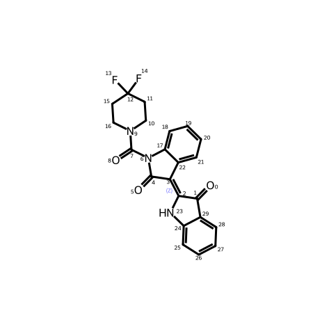 O=C1/C(=C2/C(=O)N(C(=O)N3CCC(F)(F)CC3)c3ccccc32)Nc2ccccc21